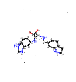 O=c1c(NCc2ccc3cc[nH]c3c2)c(Nc2ccc3[nH]cnc3c2)c1=O